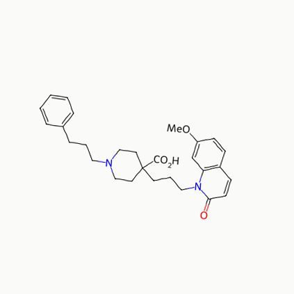 COc1ccc2ccc(=O)n(CCCC3(C(=O)O)CCN(CCCc4ccccc4)CC3)c2c1